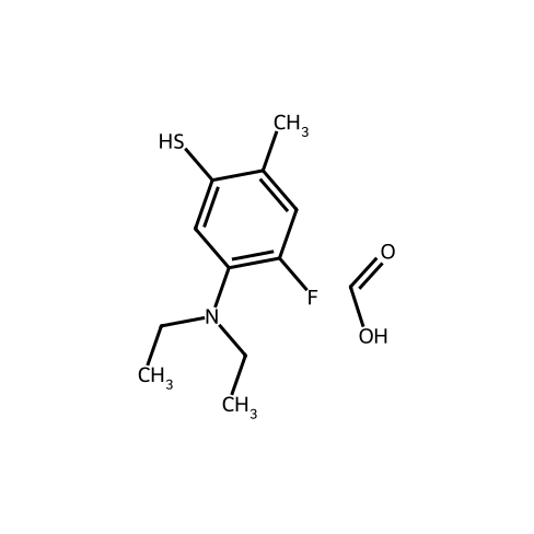 CCN(CC)c1cc(S)c(C)cc1F.O=CO